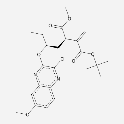 C=C(C(=O)OC(C)(C)C)[C@@H](C[C@H](CC)Oc1nc2cc(OC)ccc2nc1Cl)C(=O)OC